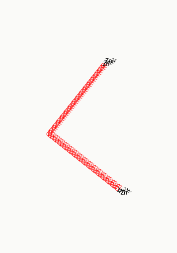 [O-2].[O-2].[O-2].[O-2].[O-2].[O-2].[O-2].[O-2].[O-2].[O-2].[O-2].[O-2].[O-2].[O-2].[O-2].[O-2].[O-2].[O-2].[O-2].[O-2].[O-2].[O-2].[O-2].[O-2].[O-2].[O-2].[O-2].[O-2].[O-2].[O-2].[O-2].[O-2].[O-2].[O-2].[O-2].[O-2].[O-2].[O-2].[O-2].[O-2].[O-2].[O-2].[O-2].[O-2].[O-2].[O-2].[O-2].[O-2].[O-2].[O-2].[O-2].[O-2].[O-2].[O-2].[O-2].[O-2].[O-2].[O-2].[O-2].[O-2].[O-2].[O-2].[O-2].[O-2].[O-2].[O-2].[O-2].[O-2].[O-2].[O-2].[O-2].[O-2].[O-2].[O-2].[O-2].[O-2].[O-2].[O-2].[O-2].[O-2].[O-2].[Zn+2].[Zn+2].[Zn+2].[Zn+2].[Zn+2].[Zn+2]